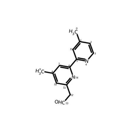 Cc1ccnc(-c2cc(C)cc(CC=O)n2)c1